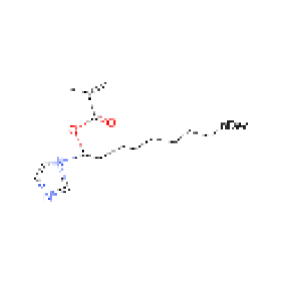 C=C(C)C(=O)OC(CCCCCCCCCCCCCCCCC)n1ccnc1